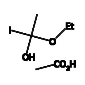 CC(=O)O.CCOC(C)(O)I